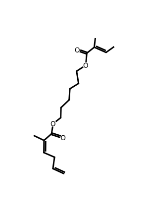 C=CCC=C(C)C(=O)OCCCCCCOC(=O)C(C)=CC